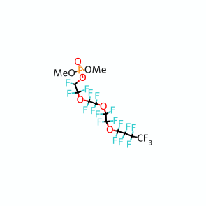 COP(=O)(OC)OC(F)C(F)(F)OC(F)(F)C(F)(F)OC(F)(F)C(F)(F)OC(F)(F)C(F)(F)C(F)(F)C(F)(F)F